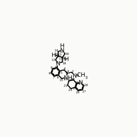 CN(C[C@@H]1Cc2c(cccc2N2C[C@@H]3CNC[C@H]3C2)CN1)[C@H]1CCCc2cccnc21